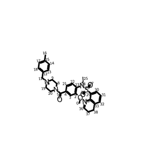 COc1cc(C(=O)N2CCN(Cc3ccc(C)cc3)CC2)ccc1N(I)S(=O)(=O)c1cccc2c1N=CCC2